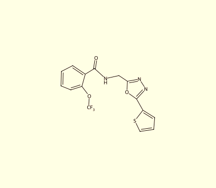 O=C(NCc1nnc(-c2cccs2)o1)c1ccccc1OC(F)(F)F